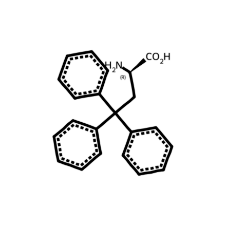 N[C@H](CC(c1ccccc1)(c1ccccc1)c1ccccc1)C(=O)O